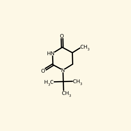 CC1CN(C(C)(C)C)C(=O)NC1=O